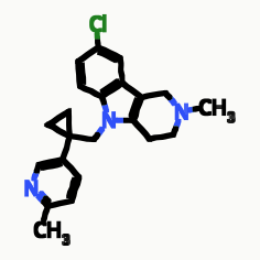 Cc1ccc(C2(Cn3c4c(c5cc(Cl)ccc53)CN(C)CC4)CC2)cn1